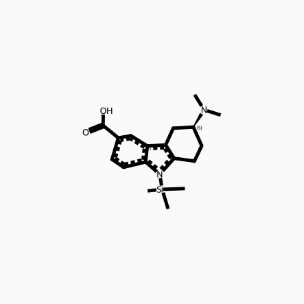 CN(C)[C@H]1CCc2c(c3cc(C(=O)O)ccc3n2[Si](C)(C)C)C1